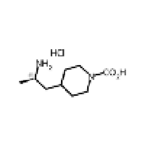 C[C@@H](N)CC1CCN(C(=O)O)CC1.Cl